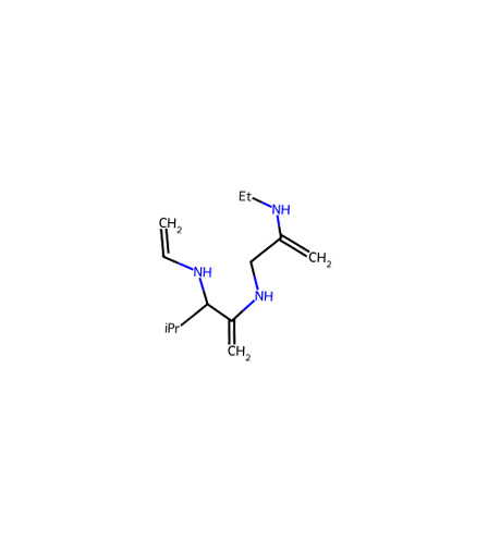 C=CNC(C(=C)NCC(=C)NCC)C(C)C